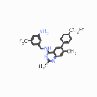 CCOC(=O)C1CC=C(c2cc3c(NCc4cc(N)cc(C(F)(F)F)c4)nc(C)nc3cc2C)CC1